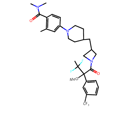 COC(C(=O)N1CC(CC2CCN(c3ccc(C(=O)N(C)C)c(C)c3)CC2)C1)(c1cccc(C(F)(F)F)c1)C(C)(F)F